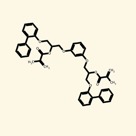 C=C(C)C(=O)OC(COc1cccc(OCC(COc2ccccc2-c2ccccc2)OC(=O)C(=C)C)c1)COc1ccccc1-c1ccccc1